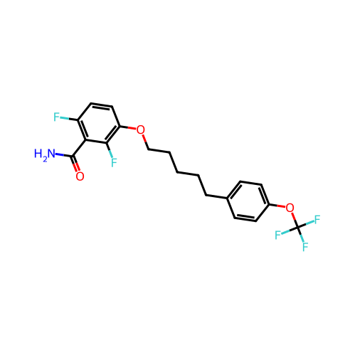 NC(=O)c1c(F)ccc(OCCCCCc2ccc(OC(F)(F)F)cc2)c1F